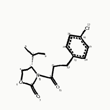 CC(C)[C@H]1COC(=O)N1C(=O)CCc1ccc(Cl)cc1